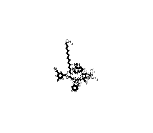 CCCCCCCCCCCCCCC[C@H](COP(=O)(OC[C@@]1(C#N)O[C@@H](c2ccc3c(N)ncnn23)[C@@H]2OC(C)(C)O[C@@H]21)Oc1ccccc1Cl)OCc1cc(F)cc(C#N)c1